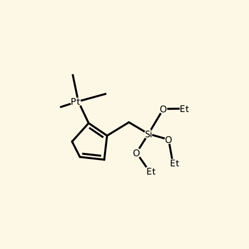 CCO[Si](CC1=[C]([Pt]([CH3])([CH3])[CH3])CC=C1)(OCC)OCC